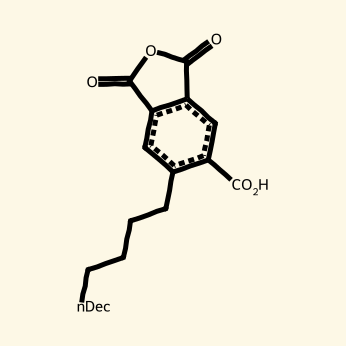 CCCCCCCCCCCCCCc1cc2c(cc1C(=O)O)C(=O)OC2=O